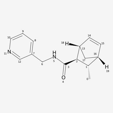 C[C@@H]1[C@@H](C(=O)NCc2cccnc2)[C@@H]2C=C[C@H]1C2